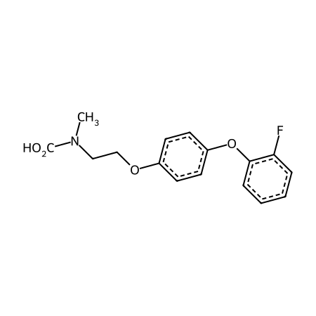 CN(CCOc1ccc(Oc2ccccc2F)cc1)C(=O)O